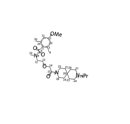 COc1cc(C)c(S(=O)(=O)N(C)CCOCC(=O)N2CCC3(CC2)CCN(C(C)C)CC3)c(C)c1